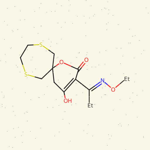 CCON=C(CC)C1=C(O)CC2(CSCCSC2)OC1=O